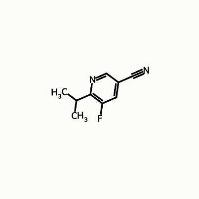 CC(C)c1ncc(C#N)cc1F